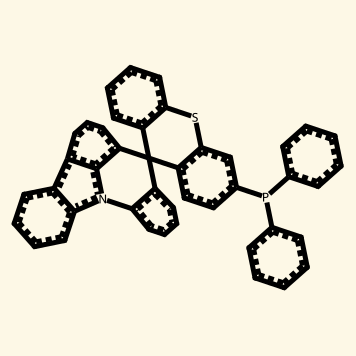 c1ccc(P(c2ccccc2)c2ccc3c(c2)Sc2ccccc2C32c3ccccc3-n3c4ccccc4c4cccc2c43)cc1